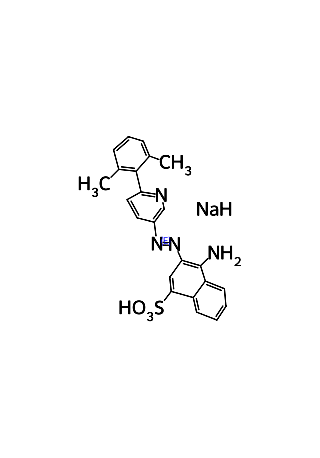 Cc1cccc(C)c1-c1ccc(/N=N/c2cc(S(=O)(=O)O)c3ccccc3c2N)cn1.[NaH]